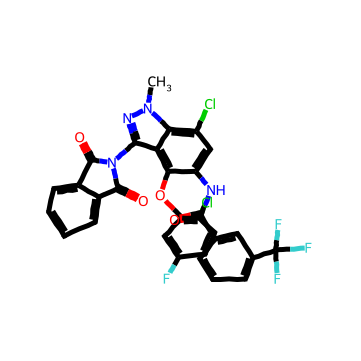 Cn1nc(N2C(=O)c3ccccc3C2=O)c2c(Oc3cc(F)ccc3Cl)c(NC(=O)c3cccc(C(F)(F)F)c3)cc(Cl)c21